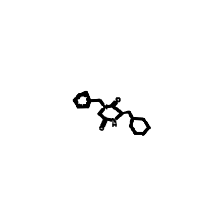 O=C1CN(Cc2ccccc2)C(=O)[C@@H](CC2CCCCC2)N1